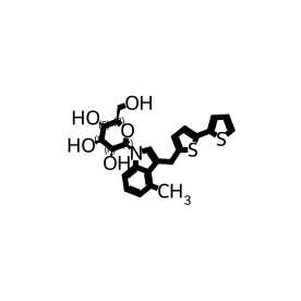 Cc1cccc2c1c(Cc1ccc(-c3cccs3)s1)cn2[C@@H]1O[C@H](CO)[C@@H](O)[C@H](O)[C@H]1O